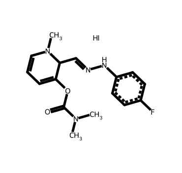 CN(C)C(=O)OC1=CC=CN(C)C1C=NNc1ccc(F)cc1.I